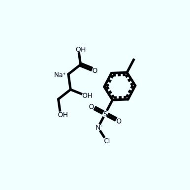 Cc1ccc(S(=O)(=O)[N-]Cl)cc1.O=C(O)CC(O)CO.[Na+]